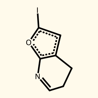 Ic1cc2c(o1)N=CCC2